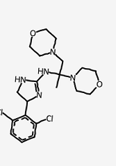 CC(CN1CCOCC1)(NC1=NC(c2c(Cl)cccc2Cl)CN1)N1CCOCC1